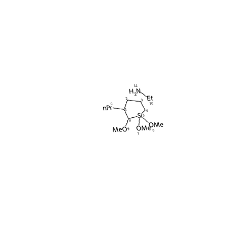 CCCC1CCC[Si](OC)(OC)C1OC.CCN